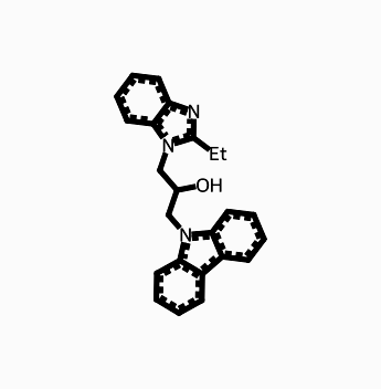 CCc1nc2ccccc2n1CC(O)Cn1c2ccccc2c2ccccc21